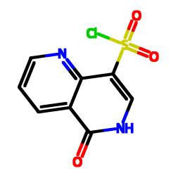 O=c1[nH]cc(S(=O)(=O)Cl)c2ncccc12